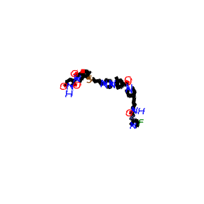 Cc1cc(C(=O)N2CCC(CCCCNC(=O)/C=C/c3cncc(F)c3)CC2)ccc1N1CCN(CCCCSc2cccc3c2CN(C2CCC(=O)NC2=O)C3=O)CC1